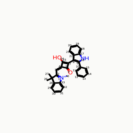 C[N+]1=C(/C=C2\C(=O)C(c3c(-c4ccccc4)[nH]c4ccccc34)=C2O)C(C)(C)c2ccccc21